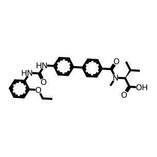 CCOc1ccccc1NC(=O)Nc1ccc(-c2ccc(C(=O)N(C)[C@H](C(=O)O)C(C)C)cc2)cc1